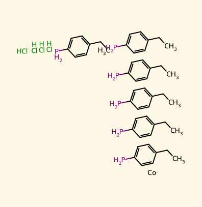 CCc1ccc(P)cc1.CCc1ccc(P)cc1.CCc1ccc(P)cc1.CCc1ccc(P)cc1.CCc1ccc(P)cc1.CCc1ccc(P)cc1.Cl.Cl.Cl.Cl.[Co]